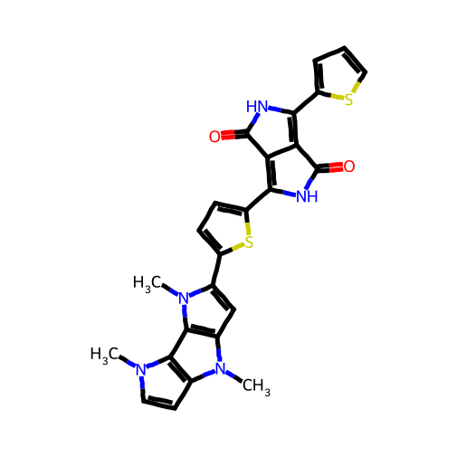 Cn1ccc2c1c1c(cc(-c3ccc(C4=C5C(=O)NC(c6cccs6)=C5C(=O)N4)s3)n1C)n2C